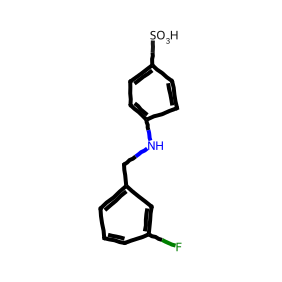 O=S(=O)(O)c1ccc(NCc2cccc(F)c2)cc1